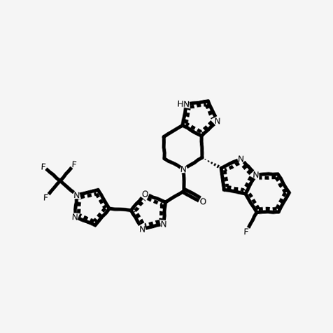 O=C(c1nnc(-c2cnn(C(F)(F)F)c2)o1)N1CCc2[nH]cnc2[C@@H]1c1cc2c(F)cccn2n1